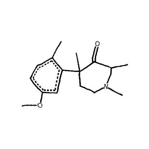 COc1ccc(C)c(C2(C)CCN(C)C(C)C2=O)c1